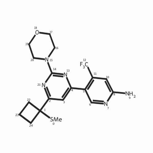 CSC1(c2cc(-c3cnc(N)cc3C(F)(F)F)nc(N3CCOCC3)n2)CCC1